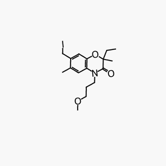 CCC1(C)Oc2cc(CI)c(C)cc2N(CCCOC)C1=O